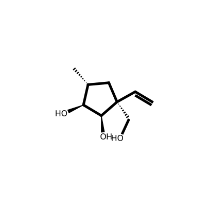 C=C[C@]1(CO)C[C@@H](C)[C@H](O)[C@@H]1O